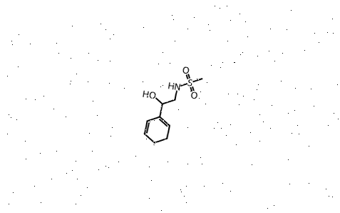 CS(=O)(=O)NCC(O)C1=CC[CH]C=C1